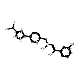 N/C(=C\N(N)Cc1ccc(-c2nnc(C(F)F)o2)cn1)c1cccc(Cl)c1